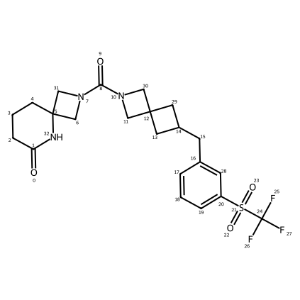 O=C1CCCC2(CN(C(=O)N3CC4(CC(Cc5cccc(S(=O)(=O)C(F)(F)F)c5)C4)C3)C2)N1